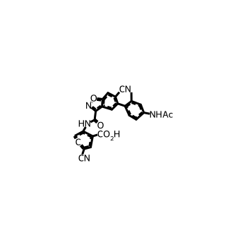 CC(=O)Nc1ccc(-c2cc3c(C(=O)Nc4ccc(C#N)cc4C(=O)O)noc3cc2C#N)c(C)c1